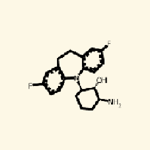 N[C@H]1CCC[C@@H](N2c3ccc(F)cc3CCc3cc(F)ccc32)[C@@H]1O